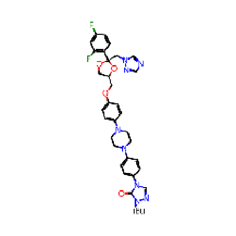 CC[C@H](C)n1ncn(-c2ccc(N3CCN(c4ccc(OC[C@H]5CO[C@](Cn6cncn6)(c6ccc(F)cc6F)O5)cc4)CC3)cc2)c1=O